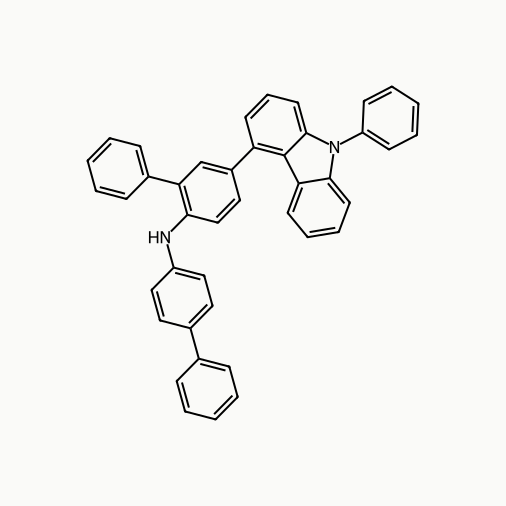 c1ccc(-c2ccc(Nc3ccc(-c4cccc5c4c4ccccc4n5-c4ccccc4)cc3-c3ccccc3)cc2)cc1